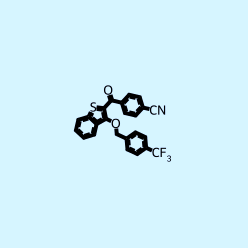 N#Cc1ccc(C(=O)c2sc3ccccc3c2OCc2ccc(C(F)(F)F)cc2)cc1